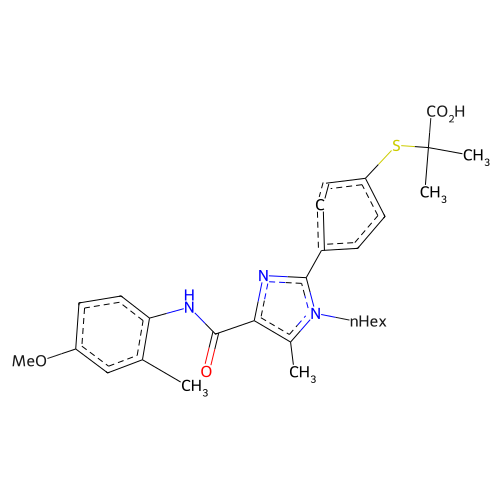 CCCCCCn1c(-c2ccc(SC(C)(C)C(=O)O)cc2)nc(C(=O)Nc2ccc(OC)cc2C)c1C